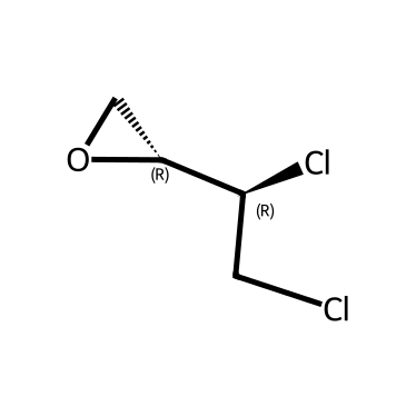 ClC[C@H](Cl)[C@H]1CO1